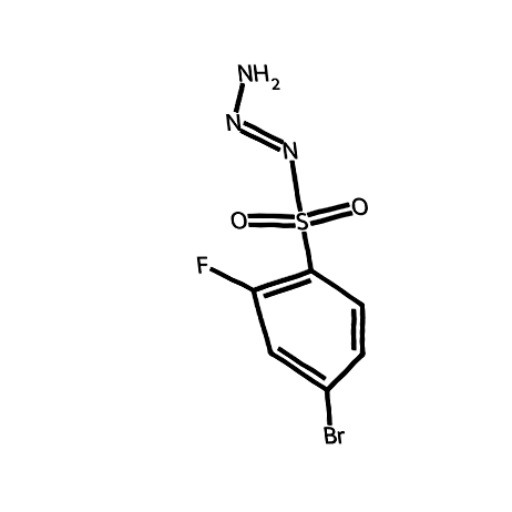 NN=NS(=O)(=O)c1ccc(Br)cc1F